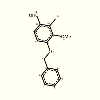 COc1c(OCc2ccccc2)ccc(C=O)c1I